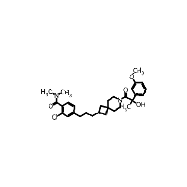 COc1cccc(C(C)(O)C(=O)N2CCC3(CC2)CC(CCCc2ccc(C(=O)N(C)C)c(Cl)c2)C3)c1